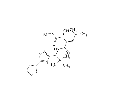 CC(C)C[C@@H](C(=O)N[C@H](c1noc(C2CCCC2)n1)C(C)(C)C)[C@H](O)C(=O)NO